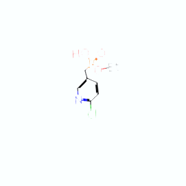 CCOP(=O)(O)Cc1ccc(Cl)nc1